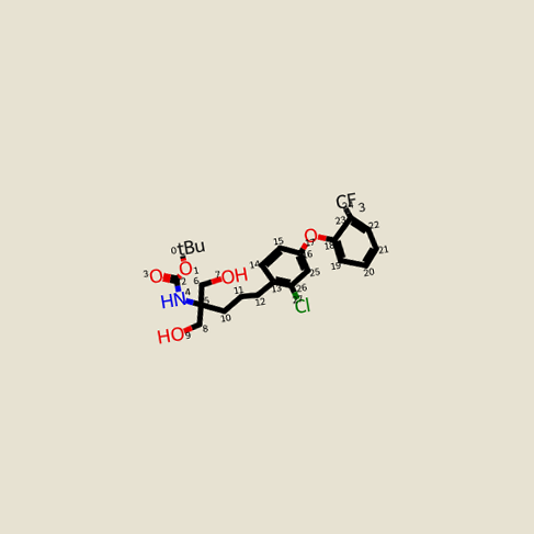 CC(C)(C)OC(=O)NC(CO)(CO)CCCc1ccc(Oc2ccccc2C(F)(F)F)cc1Cl